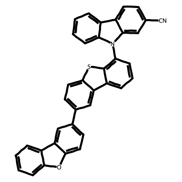 N#Cc1ccc2c3ccccc3n(-c3cccc4c3sc3ccc(-c5ccc6oc7ccccc7c6c5)cc34)c2c1